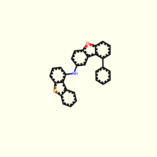 c1ccc(-c2cccc3oc4ccc(Nc5cccc6sc7ccccc7c56)cc4c23)cc1